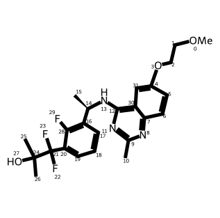 COCCOc1ccc2nc(C)nc(N[C@H](C)c3cccc(C(F)(F)C(C)(C)O)c3F)c2c1